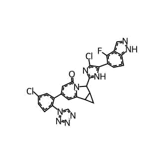 O=c1cc(-c2cc(Cl)ccc2-n2cnnn2)cc2n1C(c1nc(Cl)c(-c3ccc4[nH]ncc4c3F)[nH]1)C1CC21